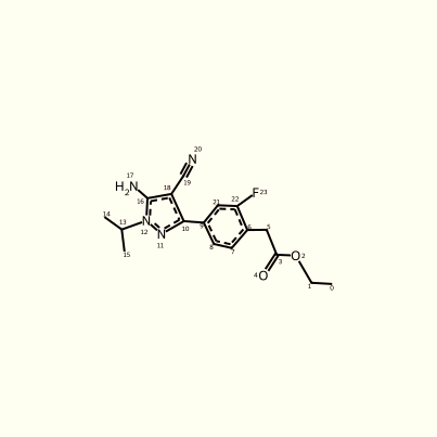 CCOC(=O)Cc1ccc(-c2nn(C(C)C)c(N)c2C#N)cc1F